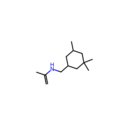 C=C(C)NCC1CC(C)CC(C)(C)C1